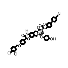 N#Cc1ccc(-c2ccc(C[C@H](NC(=O)[C@@H]3Cc4cc5c(cc4CN3C(=O)OC3CCC(O)CC3)OC(c3ccc(OCc4ccc(Cl)c(Cl)c4)cc3)C(=O)N5)C(=O)O)cc2)cc1